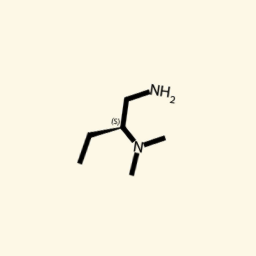 CC[C@@H](CN)N(C)C